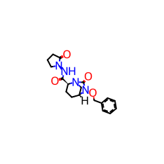 O=C(NN1CCCC1=O)[C@@H]1CC[C@@H]2CN1C(=O)N2OCc1ccccc1